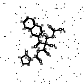 CC(=O)SC(C)C(C)(C(=O)OC(=O)[C@@H]1CCCN1)C(=O)c1ccc2ccccc2c1